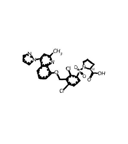 Cc1cc(-n2cccn2)c2cccc(OCc3c(Cl)ccc(S(=O)(=O)N4CCC[C@H]4C(=O)O)c3Cl)c2n1